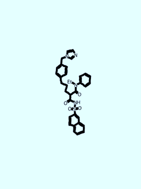 CCN(C(=O)C(CCCc1ccc(Cn2ccnc2)cc1)C(=O)NS(=O)(=O)c1ccc2ccccc2c1)c1ccccc1